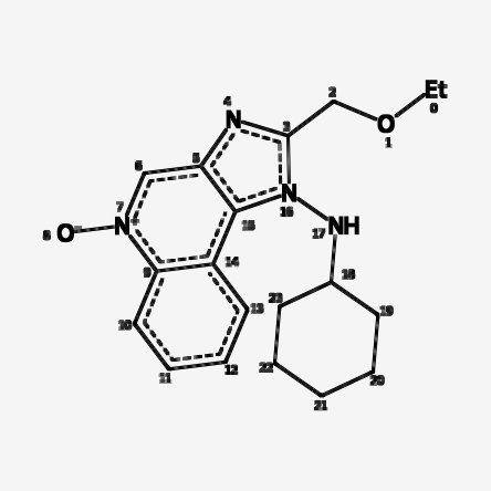 CCOCc1nc2c[n+]([O-])c3ccccc3c2n1NC1CCCCC1